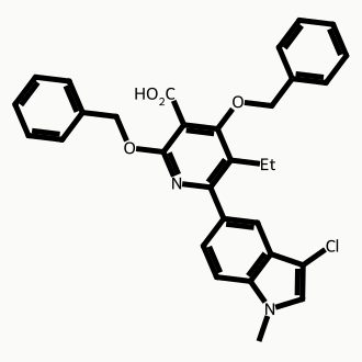 CCc1c(-c2ccc3c(c2)c(Cl)cn3C)nc(OCc2ccccc2)c(C(=O)O)c1OCc1ccccc1